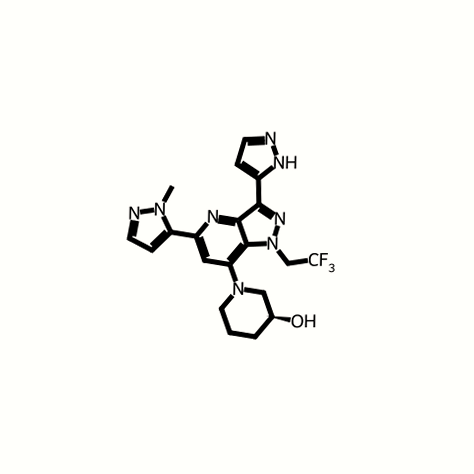 Cn1nccc1-c1cc(N2CCC[C@H](O)C2)c2c(n1)c(-c1ccn[nH]1)nn2CC(F)(F)F